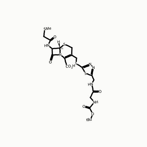 CSCC(=O)NC1C(=O)N2C(C(=O)O)=C(CSc3nnc(CNC(=O)CNC(=O)OC(C)(C)C)s3)CS[C@@H]12